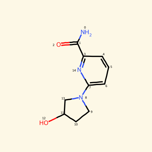 NC(=O)c1cccc(N2CCC(O)C2)n1